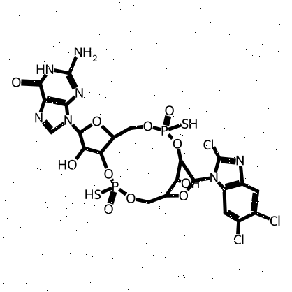 Nc1nc2c(ncn2C2OC3COP(=O)(S)OC4C(O)C(COP(=O)(S)OC3C2O)OC4n2c(Cl)nc3cc(Cl)c(Cl)cc32)c(=O)[nH]1